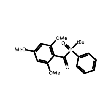 COc1cc(OC)c(C(=O)P(=O)(c2ccccc2)C(C)(C)C)c(OC)c1